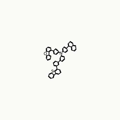 c1cc(-c2cccc(N(c3ccc(-c4cccc5ccccc45)cc3)c3ccc(-c4cccc5oc6ccccc6c45)cc3)c2)cc(-c2cccc3c2sc2ccccc23)c1